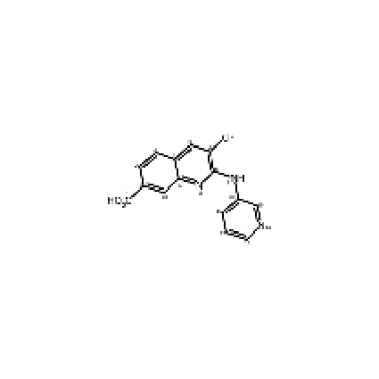 O=C(O)c1ccc2cc(Cl)c(Nc3cccnc3)nc2c1